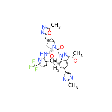 CC(=O)c1nn(CC(=O)N2C3C[C@]3(Cc3nnc(C)o3)C[C@H]2C(=O)Nc2nc(C(F)(F)F)ccc2C)c2c(C)cc(-c3cnc(C)nc3)cc12